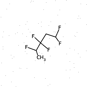 CC(F)C(F)(F)CC(F)F